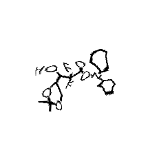 CC1(C)OCC(C(O)C(F)(F)C(=O)ON(C2CCCCC2)C2CCCCC2)O1